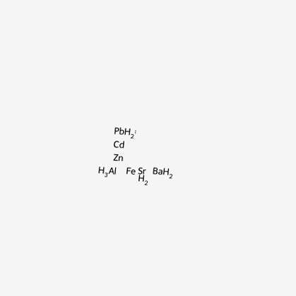 [AlH3].[BaH2].[Cd].[Fe].[PbH2].[SrH2].[Zn]